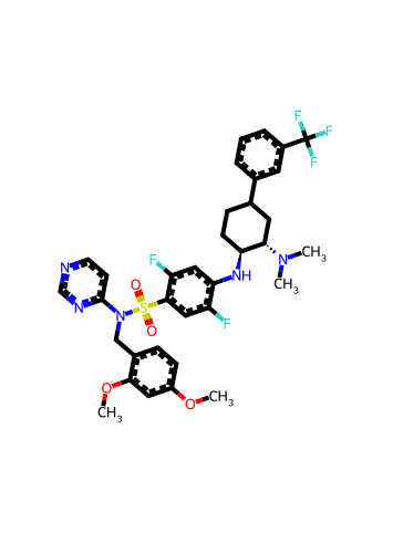 COc1ccc(CN(c2ccncn2)S(=O)(=O)c2cc(F)c(N[C@H]3CCC(c4cccc(C(F)(F)F)c4)C[C@@H]3N(C)C)cc2F)c(OC)c1